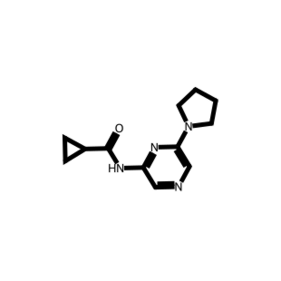 O=C(Nc1cncc(N2CCCC2)n1)C1CC1